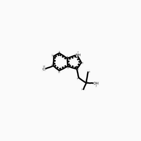 CC(C)(O)Cc1c[nH]c2ccc(Cl)cc12